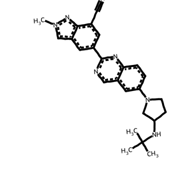 Cn1cc2cc(-c3ncc4cc(N5CCC(NC(C)(C)C)C5)ccc4n3)cc(C#N)c2n1